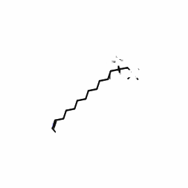 CCCCCCCCCC/C=C\CCCCCCCCCCC(O)(C[N+](C)(C)C)P(=O)(O)O